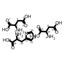 NC(CC(=O)O)C(=O)O.NC(CC(=O)O)C(=O)O.NC(Cc1c[nH]cn1)C(=O)O